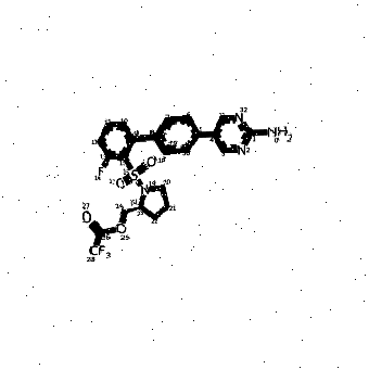 Nc1ncc(-c2ccc(-c3cccc(F)c3S(=O)(=O)N3CCC[C@H]3COC(=O)C(F)(F)F)cc2)cn1